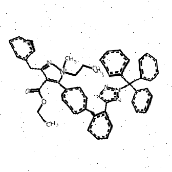 CCC[N+]1(C)N=C(Cc2ccccc2)C(C(=O)OCC)=C1c1ccc(-c2ccccc2-c2nnn(C(c3ccccc3)(c3ccccc3)c3ccccc3)n2)cc1